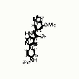 COc1cc(-c2[nH]c3cnc(N4CCC(NC(C)C)CC4)c(F)c3c2C(C)C)cn2ncnc12